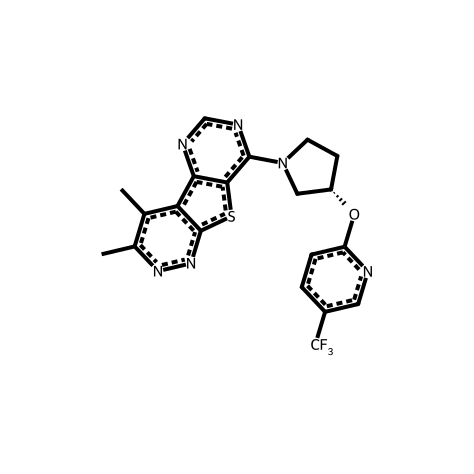 Cc1nnc2sc3c(N4CC[C@H](Oc5ccc(C(F)(F)F)cn5)C4)ncnc3c2c1C